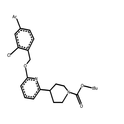 CC(=O)c1ccc(COc2cccc(C3CCN(C(=O)OC(C)(C)C)CC3)n2)c(Cl)c1